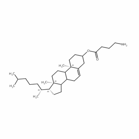 CC(C)CCC[C@@H](C)[C@H]1CCC2C3CC=C4CC(OC(=O)CCCN)CC[C@]4(C)C3CC[C@@]21C